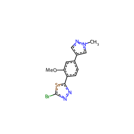 COc1cc(-c2cnn(C)c2)ccc1-c1nnc(Br)s1